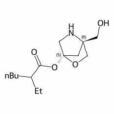 CCCCC(CC)C(=O)O[C@@]12CN[C@](CO)(CO1)C2